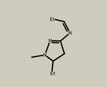 CC/C=N\C1=NN(C)C(CC)C1